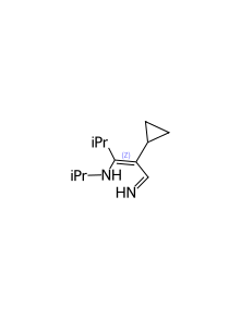 CC(C)N/C(=C(\C=N)C1CC1)C(C)C